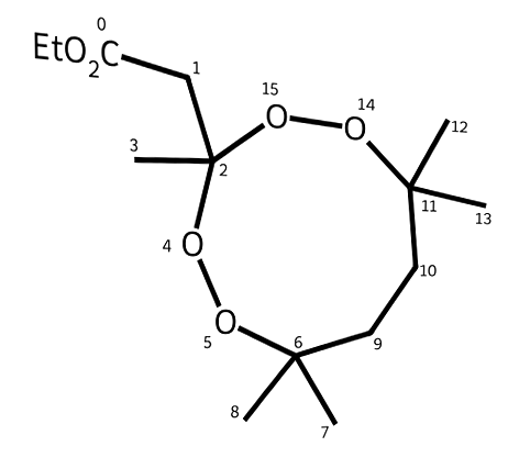 CCOC(=O)CC1(C)OOC(C)(C)CCC(C)(C)OO1